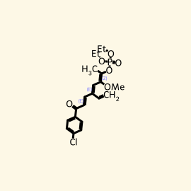 C=CC(/C=C/C(=O)c1ccc(Cl)cc1)=C\C(OC)=C(/C)OP(=O)(OCC)OCC